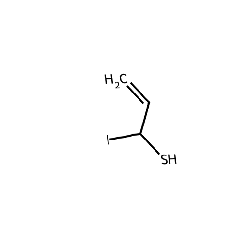 C=CC(S)I